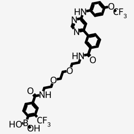 O=C(NCCOCCOCCNC(=O)c1ccc(B(O)O)c(C(F)(F)F)c1)c1cccc(-c2cc(Nc3ccc(OC(F)(F)F)cc3)ncn2)c1